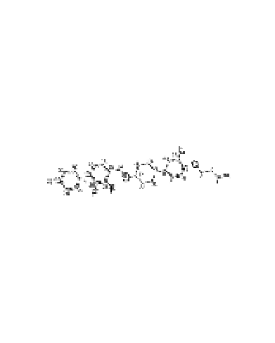 C=CCCOc1ccc(C2CCC(OCc3ccc(-c4ccc(C)cc4)c(F)c3F)CC2)cc1F